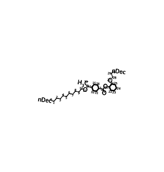 CCCCCCCCCCCCCCCCCCCCOC(C)c1ccc(C(=O)Oc2ccccc2OCCCCCCCCCCCC)cc1